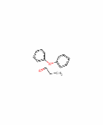 CCC=O.c1ccc(Oc2ccccc2)cc1